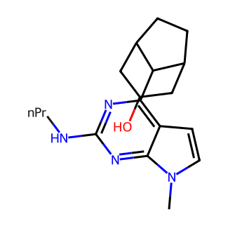 CCCNc1nc(C2C3CCC2CC(O)C3)c2ccn(C)c2n1